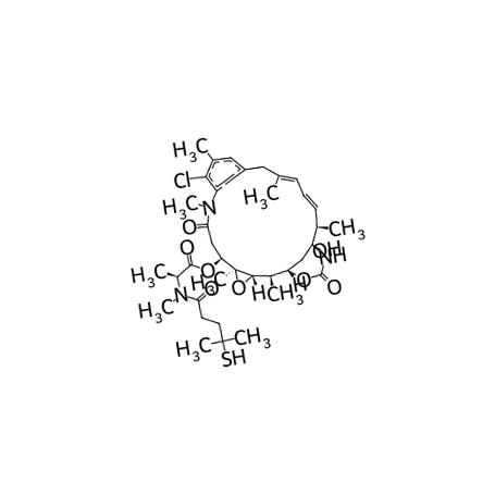 C/C1=C\C=C\[C@@H](C)[C@@]2(O)C[C@H](OC(=O)N2)[C@@H](C)[C@@H]2O[C@@]2(C)[C@@H](OC(=O)[C@H](C)N(C)C(=O)CCC(C)(C)S)CC(=O)N(C)c2cc(cc(C)c2Cl)C1